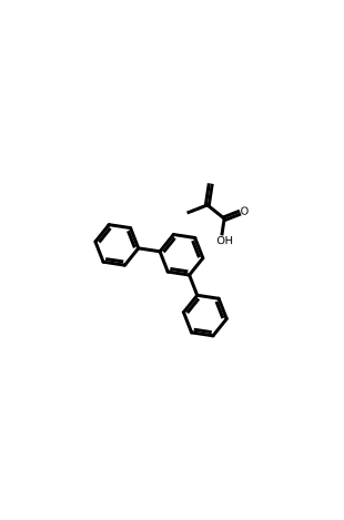 C=C(C)C(=O)O.c1ccc(-c2cccc(-c3ccccc3)c2)cc1